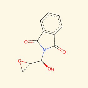 O=C1c2ccccc2C(=O)N1[C@@H](O)[C@@H]1CO1